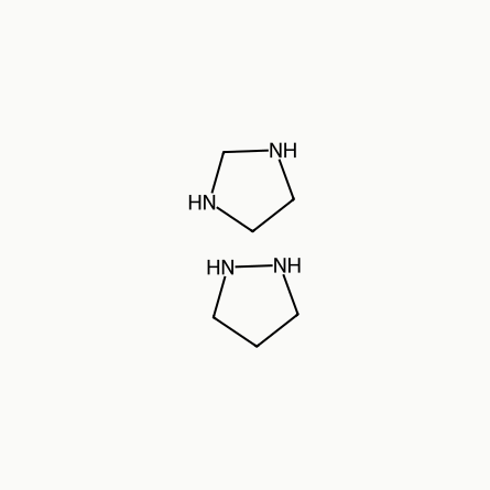 C1CNCN1.C1CNNC1